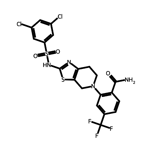 NC(=O)c1ccc(C(F)(F)F)cc1N1CCc2nc(NS(=O)(=O)c3cc(Cl)cc(Cl)c3)sc2C1